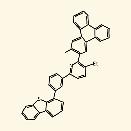 CCc1ccc(-c2cccc(-c3cccc4c3sc3ccccc34)c2)nc1-c1cc2c3ccccc3c3ccccc3c2cc1C